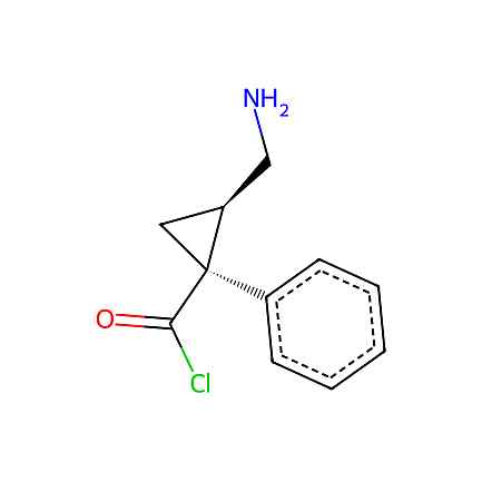 NC[C@@H]1C[C@@]1(C(=O)Cl)c1ccccc1